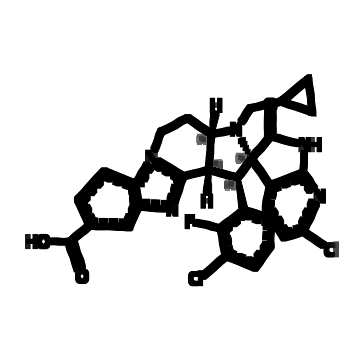 O=C(O)c1ccc2c(c1)nc1n2CC[C@H]2[C@@H]1[C@H](c1cccc(Cl)c1F)[C@]1(C(=O)Nc3nc(Cl)ccc31)N2CC1CC1